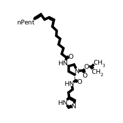 C=C(C)OC(=O)N1C[C@@H](NC(=O)CCCCCCC/C=C\C/C=C\CCCCC)C[C@H]1C(=O)NCCc1cnc[nH]1